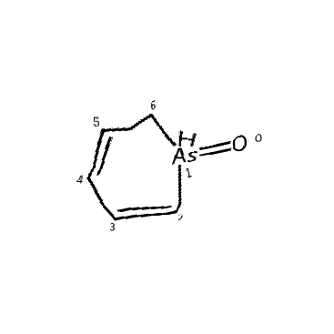 O=[AsH]1C=CC=CC1